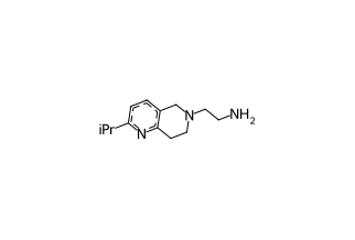 CC(C)c1ccc2c(n1)CCN(CCN)C2